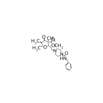 C=C1C(=O)[C@](C)(C(=O)OC)[C@@H](CCN2CCN(C(=O)NCc3ccccc3)CC2)O[C@H]1C